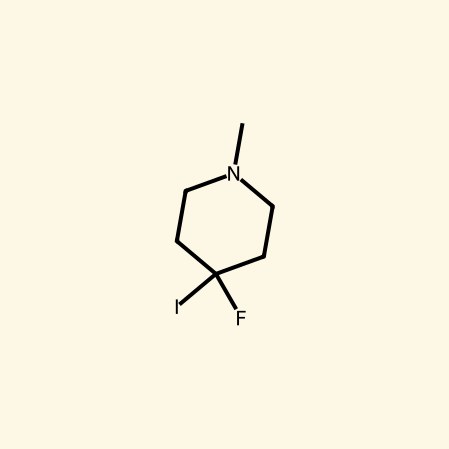 CN1CCC(F)(I)CC1